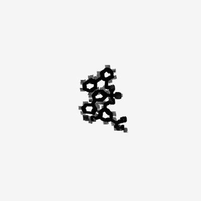 Cc1cc(COC([O])(OCc2ccccc2-c2ccccc2)c2cccc(-c3ccccc3)c2)cc(C(N)=O)c1